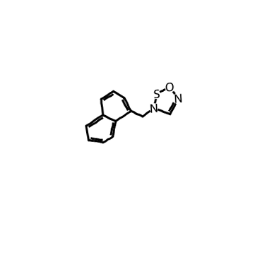 C1=NOSN1Cc1cccc2ccccc12